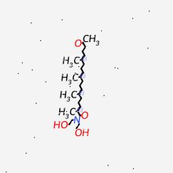 CC(=O)CC/C=C(\C)CC/C=C(\C)CC/C=C(\C)CC/C=C(\C)C(=O)N(CCO)CCO